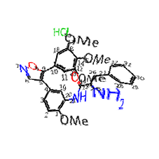 COc1ccc(-c2cnoc2-c2cc(OC)c(OC)c(OC)c2)cc1NC(=O)C(N)Cc1ccccc1.Cl